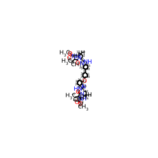 COC(=O)NC(C(=O)N1[C@@H]2C[C@@H]2C[C@H]1c1nc2cc(-c3ccc(Oc4cccc5[nH]c([C@@H]6C[C@H]7C[C@H]7N6C(=O)C(NC(=O)OC)C(C)C)nc45)cc3)ccc2[nH]1)C(C)C